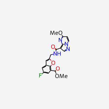 COC(=O)c1cc(F)cc2cc(CNC(=O)c3cnn4ccc(OC)nc34)oc12